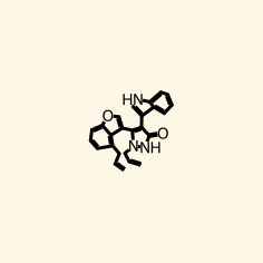 C=CCc1cccc2occ(-c3c(-c4c[nH]c5ccccc45)c(=O)[nH]n3CC=C)c12